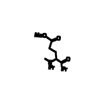 COC(=O)CCC(C(=O)C(C)C)N(C)C(C)C